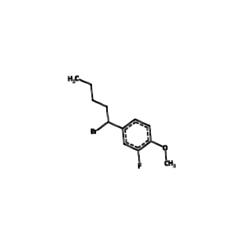 CCCCC(Br)c1ccc(OC)c(F)c1